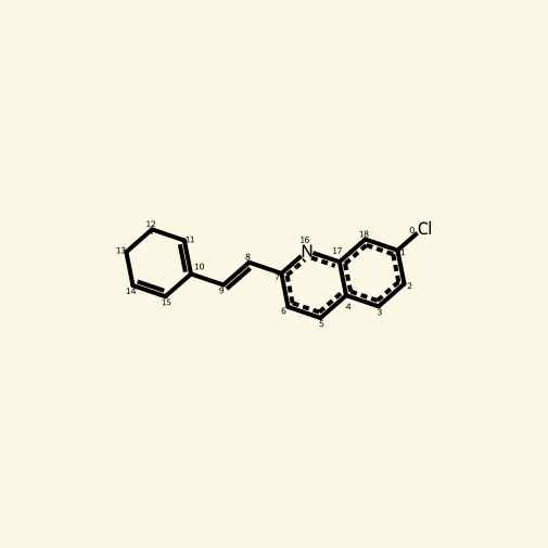 Clc1ccc2ccc(/C=C/C3=C[CH]CC=C3)nc2c1